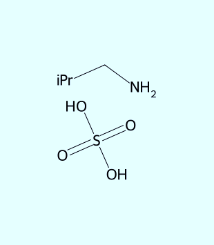 CC(C)CN.O=S(=O)(O)O